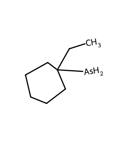 CCC1([AsH2])CCCCC1